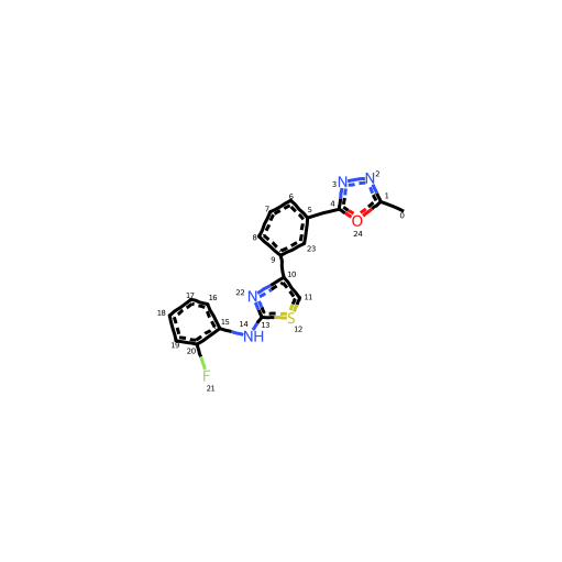 Cc1nnc(-c2cccc(-c3csc(Nc4ccccc4F)n3)c2)o1